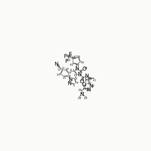 Cc1c(-c2ccnn2-c2ccc(C#N)cc2)n(C(=O)N[C@@H](C)c2nnc(CN(C)C)o2)c(=O)n1-c1cccc(C(F)(F)F)c1